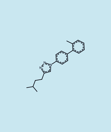 Cc1ccccc1-c1ccc(-n2cc(CCC(C)C)nn2)cc1